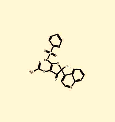 CC(=O)OC1=C(NS(=O)(=O)c2ccccc2)OC(C)(c2ccnc3ccccc23)C1=O